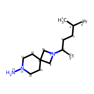 CCC(CCC(C)C(C)C)N1CC2(CCN(N)CC2)C1